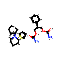 C[C@H]1CCCC[C@@]1(c1cccs1)N1CCCCC1.NC(=O)OCC(COC(N)=O)c1ccccc1